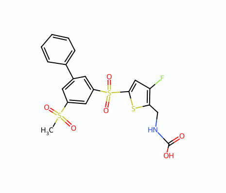 CS(=O)(=O)c1cc(-c2ccccc2)cc(S(=O)(=O)c2cc(F)c(CNC(=O)O)s2)c1